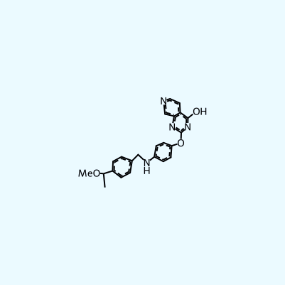 COC(C)c1ccc(CNc2ccc(Oc3nc(O)c4ccncc4n3)cc2)cc1